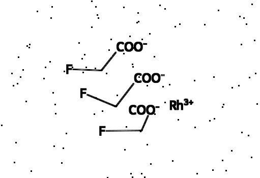 O=C([O-])CF.O=C([O-])CF.O=C([O-])CF.[Rh+3]